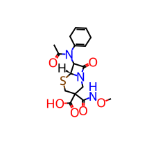 CONC(=O)C1(C(=O)O)CS[C@@H]2C(N(C(C)=O)C3=CCC=CC3)C(=O)N2C1